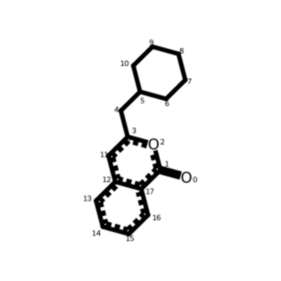 O=c1oc(CC2CCCCC2)cc2ccccc12